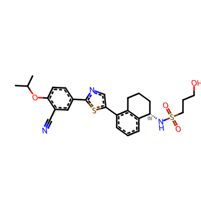 CC(C)Oc1ccc(-c2ncc(-c3cccc4c3CCC[C@@H]4NS(=O)(=O)CCCO)s2)cc1C#N